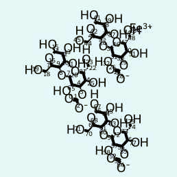 O=C([O-])O[C@@H]1[C@@H](O)[C@@H](O[C@H]2[C@H](O)[C@@H](O)[C@H](O)O[C@@H]2CO)O[C@H](CO)[C@H]1O.O=C([O-])O[C@@H]1[C@@H](O)[C@@H](O[C@H]2[C@H](O)[C@@H](O)[C@H](O)O[C@@H]2CO)O[C@H](CO)[C@H]1O.O=C([O-])O[C@@H]1[C@@H](O)[C@@H](O[C@H]2[C@H](O)[C@@H](O)[C@H](O)O[C@@H]2CO)O[C@H](CO)[C@H]1O.[Fe+3]